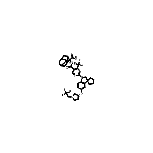 O=C(NC1(C(=O)O)C2CC3CC(C2)CC1C3)c1cnc(N2CC3(CCCC3)c3cc(O[C@@H]4CCN(CC(F)(F)F)C4)ccc32)nc1C(F)(F)F